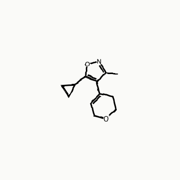 Cc1noc(C2CC2)c1C1=CCOCC1